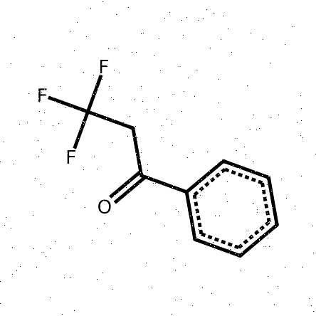 O=C(CC(F)(F)F)c1ccccc1